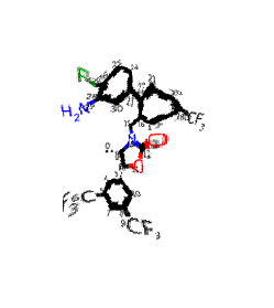 C[C@H]1[C@@H](c2cc(C(F)(F)F)cc(C(F)(F)F)c2)OC(=O)N1Cc1cc(C(F)(F)F)ccc1-c1ccc(F)c(N)c1